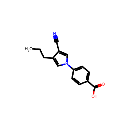 CCCc1cn(-c2ccc(C(=O)O)cc2)cc1C#N